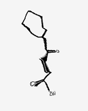 O=C(O)/C=C/C(=O)C1CCCCC1